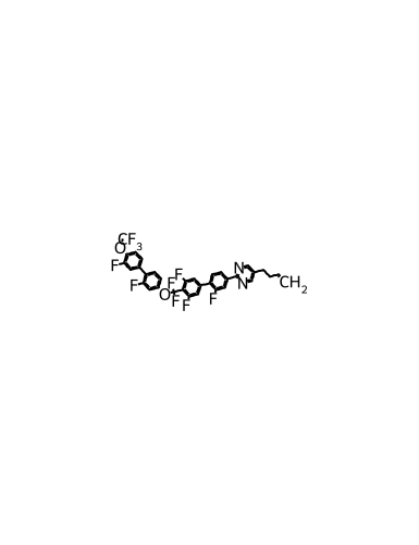 C=CCCc1cnc(-c2ccc(-c3cc(F)c(C(F)(F)Oc4ccc(-c5ccc(OC(F)(F)F)c(F)c5)c(F)c4)c(F)c3)c(F)c2)nc1